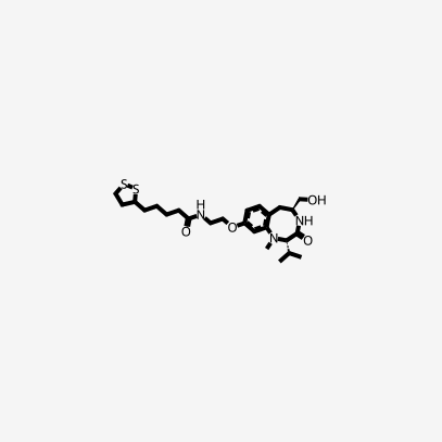 CC(C)[C@H]1C(=O)N[C@H](CO)Cc2ccc(OCCNC(=O)CCCCC3CCSS3)cc2N1C